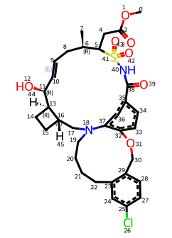 COC(=O)CC1[C@H](C)C/C=C/[C@H](O)[C@@H]2CC[C@H]2CN2CCCCc3cc(Cl)ccc3COc3ccc(cc32)C(=O)NS1(=O)=O